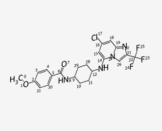 COc1ccc(C(=O)NC2CCC(Nc3cc(Cl)cc4nc(C(F)(F)F)cn34)CC2)cc1